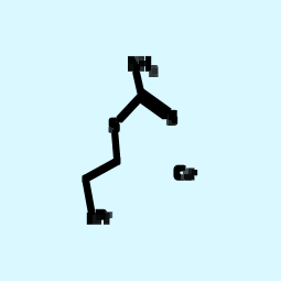 CCCCCSC(N)=S.[Cu]